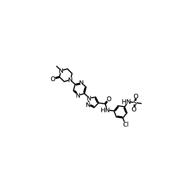 CN1CCN(c2cnc(-n3cc(C(=O)Nc4cc(Cl)cc(NS(C)(=O)=O)c4)cn3)cn2)CC1=O